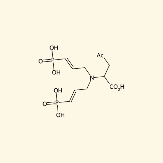 CC(=O)CC(C(=O)O)N(CC=CP(=O)(O)O)CC=CP(=O)(O)O